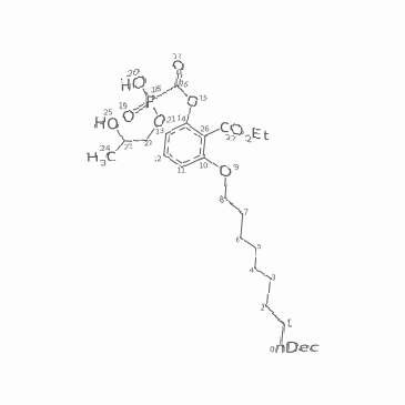 CCCCCCCCCCCCCCCCCCOc1cccc(OC(=O)P(=O)(O)OCC(C)O)c1C(=O)OCC